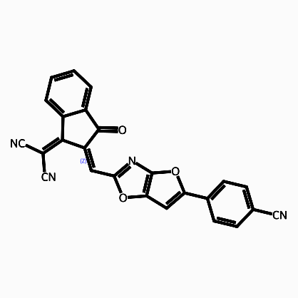 N#CC(C#N)=C1/C(=C/c2nc3oc(-c4ccc(C#N)cc4)cc3o2)C(=O)c2ccccc21